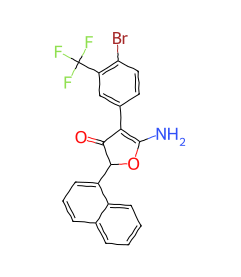 NC1=C(c2ccc(Br)c(C(F)(F)F)c2)C(=O)C(c2cccc3ccccc23)O1